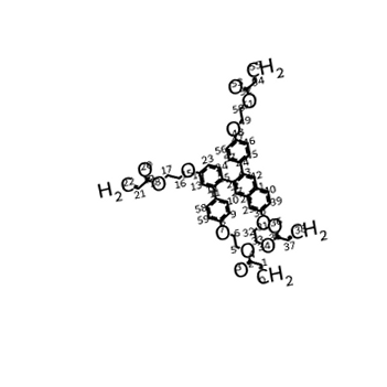 C=CC(=O)OCCOc1ccc(-c2cc(OCCOC(=O)C=C)ccc2-c2cc3cc(OCCOC(=O)C=C)ccc3cc2-c2ccc(OCCOC(=O)C=C)cc2)cc1